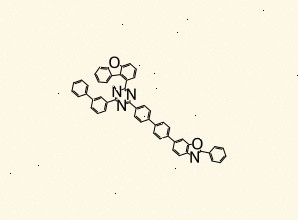 c1ccc(-c2cccc(-c3nc(-c4ccc(-c5ccc(-c6ccc7nc(-c8ccccc8)oc7c6)cc5)cc4)nc(-c4cccc5oc6ccccc6c45)n3)c2)cc1